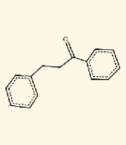 O=C(CCc1cc[c]cc1)c1ccccc1